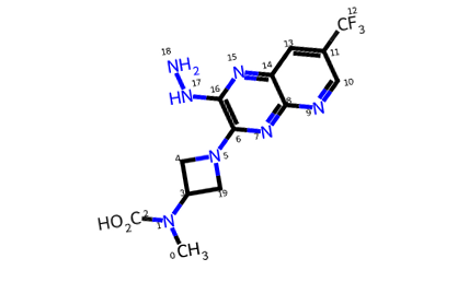 CN(C(=O)O)C1CN(c2nc3ncc(C(F)(F)F)cc3nc2NN)C1